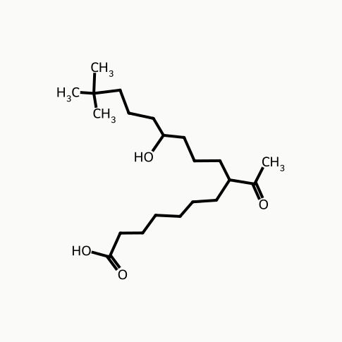 CC(=O)C(CCCCCCC(=O)O)CCCC(O)CCCC(C)(C)C